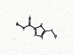 CCOC(=O)c1cnc(CCl)o1